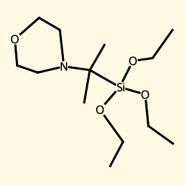 CCO[Si](OCC)(OCC)C(C)(C)N1CCOCC1